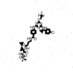 CN(C)S(=O)(=O)NC(=O)[C@@]1(NC(=O)CCCNC(=O)c2ccc(Nc3nc(NC4(c5ccc(Cl)cc5)CC4)nc(OCC(F)(F)F)n3)cc2)C[C@H]1C1CC1